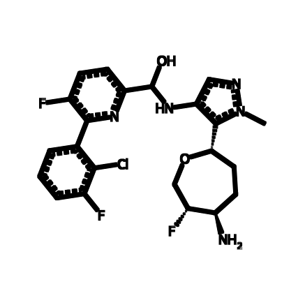 Cn1ncc(NC(O)c2ccc(F)c(-c3cccc(F)c3Cl)n2)c1[C@@H]1CC[C@@H](N)[C@H](F)CO1